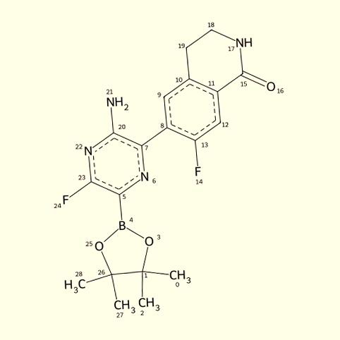 CC1(C)OB(c2nc(-c3cc4c(cc3F)C(=O)NCC4)c(N)nc2F)OC1(C)C